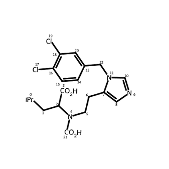 CC(C)CC(C(=O)O)N(CCc1cncn1Cc1ccc(Cl)c(Cl)c1)C(=O)O